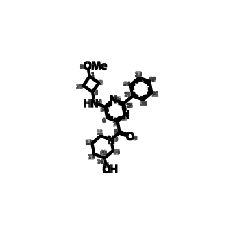 COC1CC(Nc2cc(C(=O)N3CCC[C@H](O)C3)nc(-c3ccccc3)n2)C1